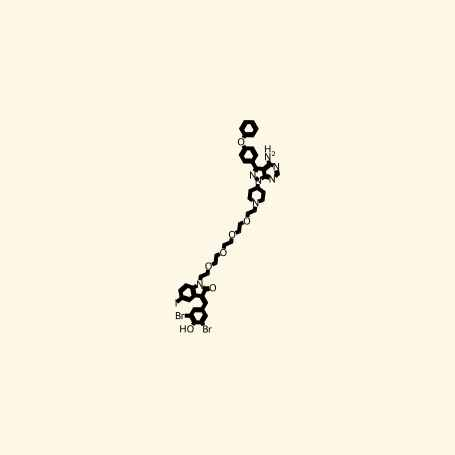 Nc1ncnc2c1c(-c1ccc(Oc3ccccc3)cc1)nn2C1CCN(CCOCCOCCOCCOCCN2C(=O)/C(=C/c3cc(Br)c(O)c(Br)c3)c3cc(I)ccc32)CC1